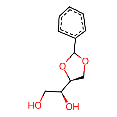 OC[C@H](O)[C@@H]1COC(c2ccccc2)O1